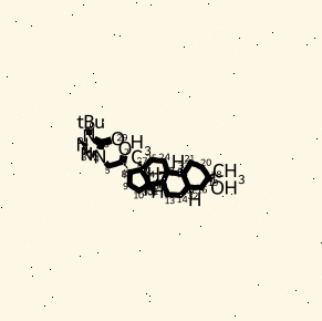 CC(C)(C)n1nnn(CC(=O)[C@H]2CC[C@H]3[C@@H]4CC[C@@H]5C[C@](C)(O)CC[C@@H]5[C@H]4CC[C@]23C)c1=O